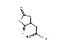 C=C(CC1CC(=O)OC1=O)C(=O)O